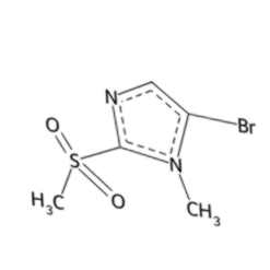 Cn1c(Br)cnc1S(C)(=O)=O